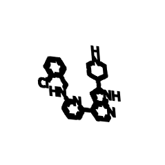 Clc1ccccc1CNc1cccc(-c2ccnc3[nH]c(C4CCNCC4)cc23)n1